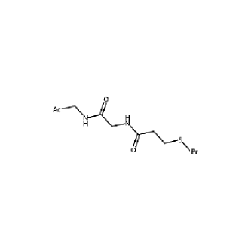 CC(=O)CNC(=O)CNC(=O)CCSC(C)C